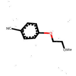 COCCOc1ccc(C#N)cc1